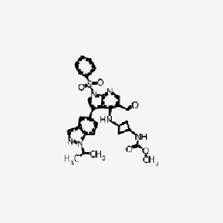 COC(=O)NC1CC(Nc2c(C=O)cnc3c2c(-c2ccc4c(cnn4C(C)C)c2)cn3S(=O)(=O)c2ccccc2)C1